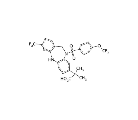 CC(C)(C(=O)O)c1ccc2c(c1)N(S(=O)(=O)c1ccc(OC(F)(F)F)cc1)Cc1ccc(C(F)(F)F)nc1N2